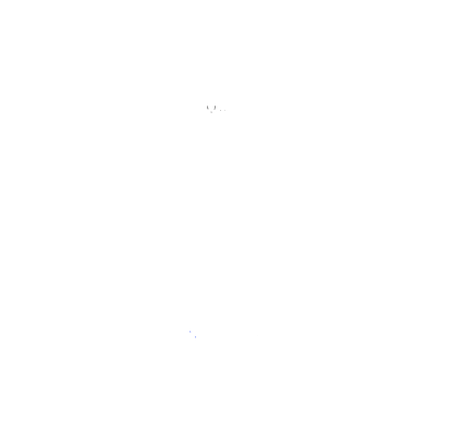 COc1ccc(-c2ccnc3ccccc23)cc1